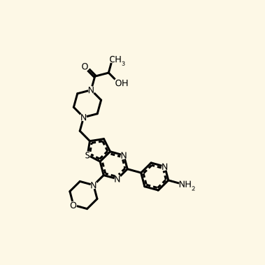 CC(O)C(=O)N1CCN(Cc2cc3nc(-c4ccc(N)nc4)nc(N4CCOCC4)c3s2)CC1